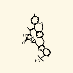 C/C(=C1/c2ccc(Cc3c(C4CC4)nc4c(C(C)(C)O)cccn34)cc2COc2cc(F)ccc21)c1noc(=O)[nH]1